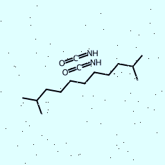 CC(C)CCCCCCCC(C)C.N=C=O.N=C=O